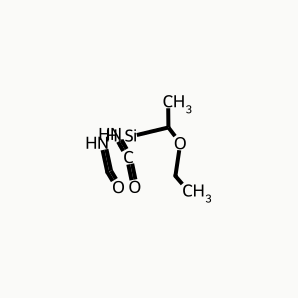 CCOC(C)[SiH3].N=C=O.N=C=O